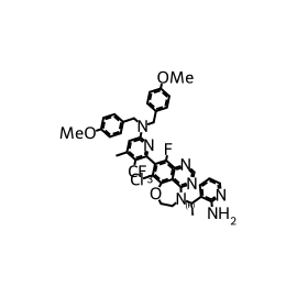 COc1ccc(CN(Cc2ccc(OC)cc2)c2cc(C)c(C(F)(F)F)c(-c3c(Cl)c4c5c(ncnc5c3F)N([C@H](C)c3cccnc3N)CCO4)n2)cc1